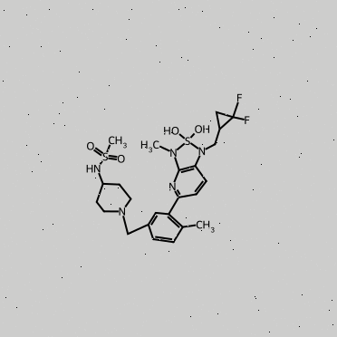 Cc1ccc(CN2CCC(NS(C)(=O)=O)CC2)cc1-c1ccc2c(n1)N(C)S(O)(O)N2CC1CC1(F)F